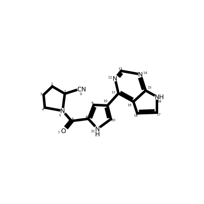 N#CC1CCCN1C(=O)c1cc(-c2ncnc3[nH]ccc23)c[nH]1